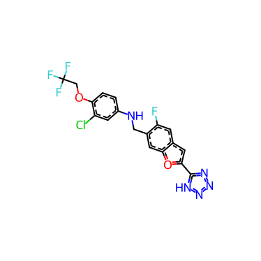 Fc1cc2cc(-c3nnn[nH]3)oc2cc1CNc1ccc(OCC(F)(F)F)c(Cl)c1